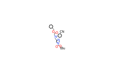 CC(C)(C)OC(=O)n1cnc(CN(CC(=O)OCc2ccccc2)c2cccc(C#N)c2)c1